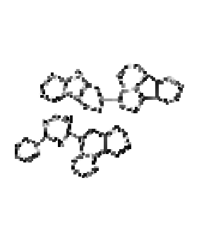 c1ccc(-c2nc(-c3cc4ccccc4c4ccccc34)nc(-c3cccc4oc5cc(-c6ccc7c8c(cccc68)-c6ccccc6-7)ccc5c34)n2)cc1